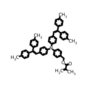 C=C(C)C(=O)OCc1ccc(N(c2ccc(C=C(c3ccc(C)cc3)c3ccc(C)cc3)cc2)c2ccc(C=C(c3ccc(C)cc3)c3ccc(C)cc3)cc2)cc1